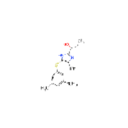 Cc1cc(C)cc(Sc2[nH]c(C(O)CC(F)(F)F)nc2C(C)C)c1